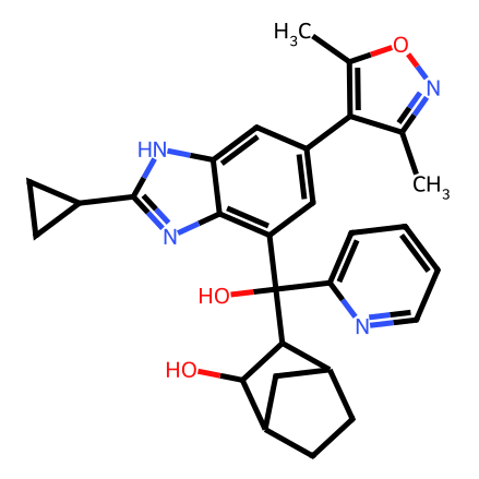 Cc1noc(C)c1-c1cc(C(O)(c2ccccn2)C2C3CCC(C3)C2O)c2nc(C3CC3)[nH]c2c1